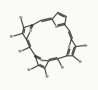 BrC1=C(Br)C2=NC1=CC1=NC(=CC3=NC(=C(Br)C4=NC(=C2Br)C(Br)=C4Br)C(Br)=C3Br)C=C1